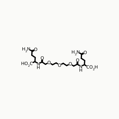 NC(=O)CCC(NC(=O)COCCOCCOCC(=O)NC(CCC(N)=O)C(=O)O)C(=O)O